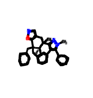 Cn1nc2c(c1-c1ccccc1)CC[C@H]1C(Cc3ccccc3)(Cc3ccccc3)c3oncc3C[C@]21C